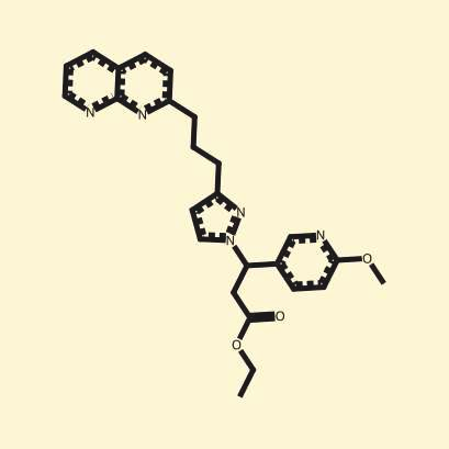 CCOC(=O)CC(c1ccc(OC)nc1)n1ccc(CCCc2ccc3cccnc3n2)n1